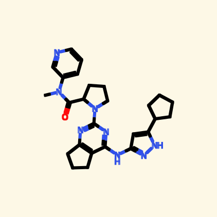 CN(C(=O)C1CCCN1c1nc2c(c(Nc3cc(C4CCCC4)[nH]n3)n1)CCC2)c1cccnc1